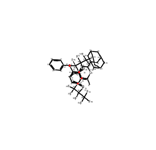 CC(OC(Oc1ccccc1Sc1ccccc1)C12CC3CC(CC(C3)C1C)C2)=[N+](S(=O)(=O)C(F)(F)C(F)(F)C(F)(F)F)S(=O)(=O)C(F)(F)C(F)(F)C(F)(F)F